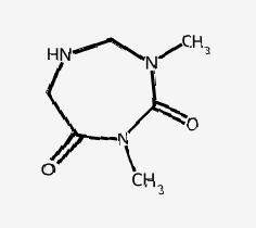 CN1CNCC(=O)N(C)C1=O